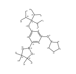 CC(C)[Si](Oc1cc(OC2CCCC2)cc(B2OC(C)(C)C(C)(C)O2)c1)(C(C)C)C(C)C